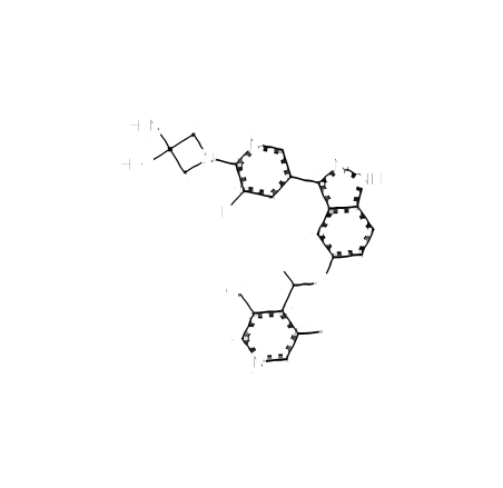 CC(Oc1ccc2[nH]nc(-c3cnc(N4CC(C)(N)C4)c(F)c3)c2c1)c1c(Cl)cncc1Cl